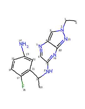 CCn1cc2ncc(NC(C)c3cc(N)ccc3F)nc2n1